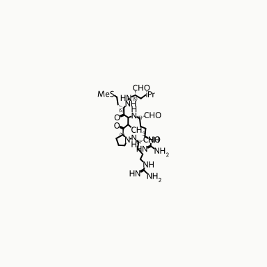 CSCC[C@H](NN[C@H](C=O)CC(C)C)C(=O)C(N[C@H](C=O)CCCNC(=N)N)C(C)C(=O)[C@@H]1CCCN1N[C@H](C=O)CCCNC(=N)N